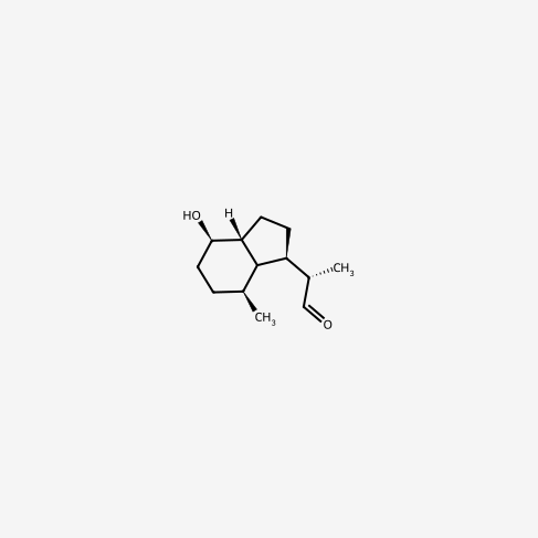 C[C@H](C=O)[C@@H]1CC[C@@H]2C1[C@@H](C)CC[C@H]2O